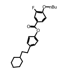 CCCCOc1ccc(C(=O)Oc2ccc(CCC3CC[CH]CC3)cc2)cc1F